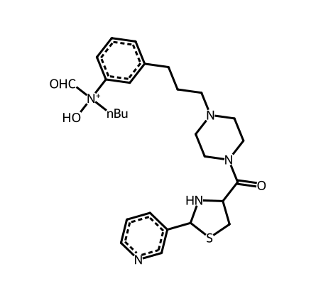 CCCC[N+](O)(C=O)c1cccc(CCCN2CCN(C(=O)C3CSC(c4cccnc4)N3)CC2)c1